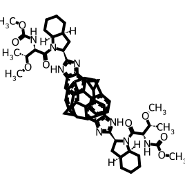 COC(=O)N[C@H](C(=O)N1[C@H](c2nc3cc(-c4cc5ccc4CCc4ccc(c(-c6cc7nc([C@@H]8C[C@@H]9CCCC[C@@H]9N8C(=O)[C@@H](NC(=O)OC)[C@@H](C)OC)[nH]c7cc6C6CC6)c4)CC5)c(C4CC4)cc3[nH]2)C[C@@H]2CCCC[C@@H]21)[C@@H](C)OC